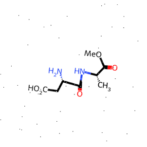 COC(=O)[C@H](C)NC(=O)[C@@H](N)CC(=O)O